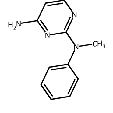 CN(c1ccccc1)c1nccc(N)n1